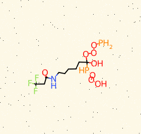 O=C(CC(F)(F)F)NCCCCCC(O)(OOOP)POOO